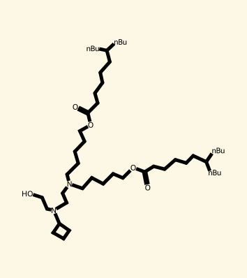 CCCCC(CCCC)CCCCCC(=O)OCCCCCN(CCCCCOC(=O)CCCCCC(CCCC)CCCC)CCN(CCO)C1CCC1